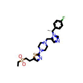 CCS(=O)(=O)CCc1cnc(N2CCN(Cc3cncn3[C@H](C)c3ccc(F)cc3)CC2)s1